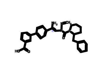 C=NN(/C=C(\N)c1ccc(-c2cccc(C(=O)O)c2)cc1)C(=O)N1CCCCC1Cc1ccccc1